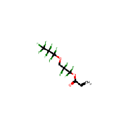 C=CC(=O)OC(F)(F)C(F)(F)COC(F)(F)C(F)(F)C(F)(F)F